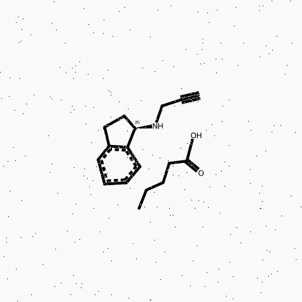 C#CCN[C@@H]1CCc2ccccc21.CCCCC(=O)O